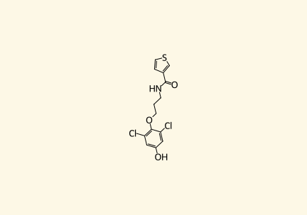 O=C(NCCCOc1c(Cl)cc(O)cc1Cl)c1ccsc1